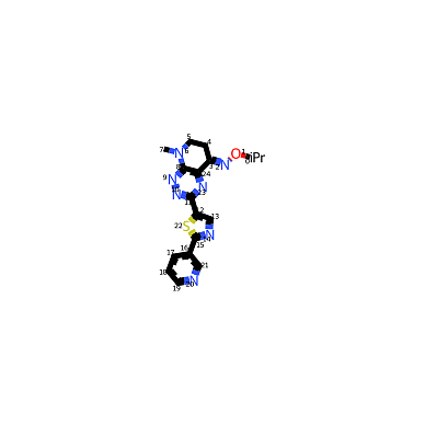 CC(C)O/N=C1\CCN(C)c2nnc(-c3cnc(-c4cccnc4)s3)nc21